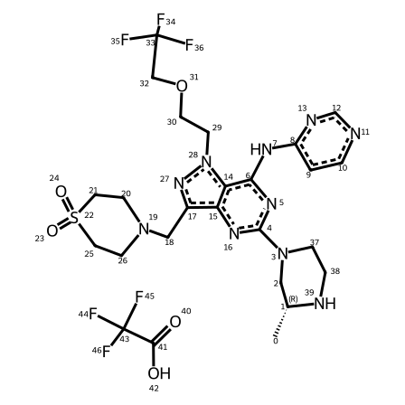 C[C@@H]1CN(c2nc(Nc3ccncn3)c3c(n2)c(CN2CCS(=O)(=O)CC2)nn3CCOCC(F)(F)F)CCN1.O=C(O)C(F)(F)F